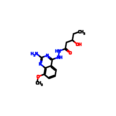 CCC(O)CC(=O)NNc1nc(N)nc2c(OC)cccc12